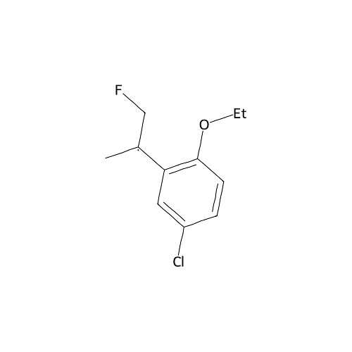 CCOc1ccc(Cl)cc1[C](C)CF